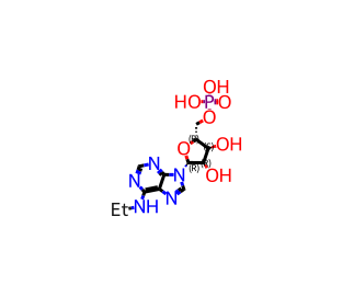 CCNc1ncnc2c1ncn2[C@@H]1O[C@H](COP(=O)(O)O)[C@@H](O)[C@H]1O